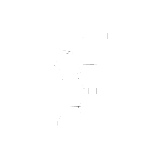 CC(C)(C)OC(=O)Nc1ccnc(CO)c1F